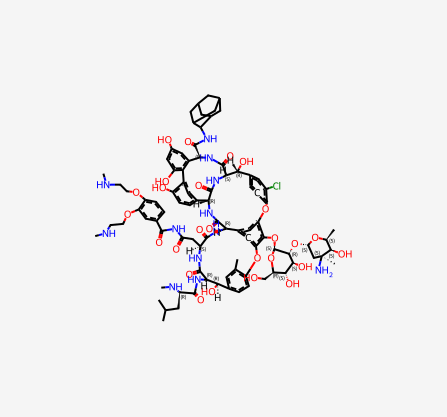 CNCCOc1ccc(C(=O)NC(=O)C[C@@H]2NC(=O)[C@H](NC(=O)[C@@H](CC(C)C)NC)[C@H](O)c3ccc(c(C)c3)Oc3cc4cc(c3O[C@@H]3O[C@H](CO)[C@@H](O)[C@H](O)[C@H]3O[C@H]3C[C@](C)(N)[C@H](O)[C@H](C)O3)Oc3ccc(cc3Cl)[C@@H](O)[C@@H]3NC(=O)[C@H](NC(=O)[C@@H]4NC2=O)c2ccc(O)c(c2)-c2c(O)cc(O)cc2[C@@H](C(=O)NC2C4CC5CC(C4)CC2C5)NC3=O)cc1OCCNC